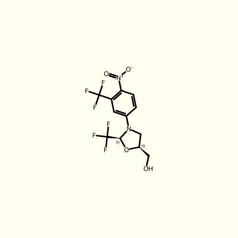 O=[N+]([O-])c1ccc(N2C[C@@H](CO)O[C@H]2C(F)(F)F)cc1C(F)(F)F